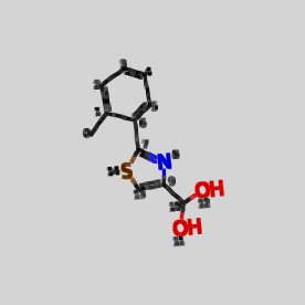 Cc1ccccc1-c1nc(C(O)O)cs1